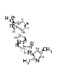 Cc1cnc(C)c(NC(=O)c2cnn3cc(-c4cccc5c4cnn5C)sc23)c1